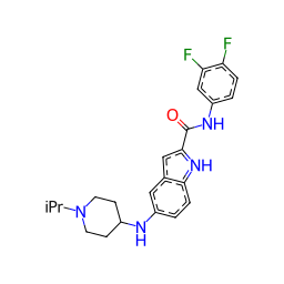 CC(C)N1CCC(Nc2ccc3[nH]c(C(=O)Nc4ccc(F)c(F)c4)cc3c2)CC1